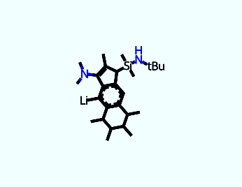 [Li][c]1c2c(cc3c1C(C)C(C)C(C)C3C)C([Si](C)(C)NC(C)(C)C)C(C)=C2N(C)C